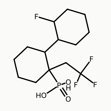 O=P(O)(O)C1(CC(F)(F)F)CCCCC1C1CCCCC1F